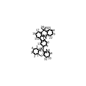 Cc1ccccc1N(c1ccc2c(c1)c1cccc3c1n2-c1ccccc1C3(C)C)c1ccccn1